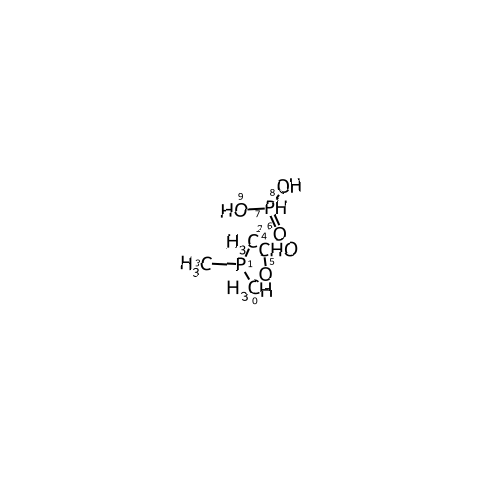 CP(C)C.O=CO.O=[PH](O)O